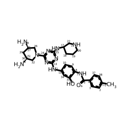 Cc1ccc(C(=O)Nc2ccc(Nc3nc(NC4CCCNC4)nc(N4C[C@H](N)C[C@H](N)C4)n3)cc2O)cc1